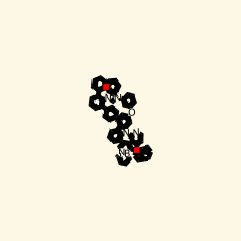 C1=CCC(C2=C([n+]3cn(-c4cccc(Oc5ccc6c7ccccc7n(-c7cc(C8(C9=CC=CN%10C=CC=CB9%10)C9CC%10CC(C9)CC8C%10)ccn7)c6c5)c4)c4ccccc43)C(C3=CCCC=C3)CC=C2)C=C1